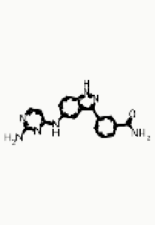 NC(=O)c1cccc(-c2n[nH]c3ccc(Nc4ccnc(N)n4)cc23)c1